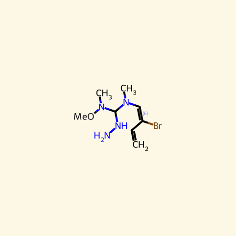 C=C/C(Br)=C\N(C)C(NN)N(C)OC